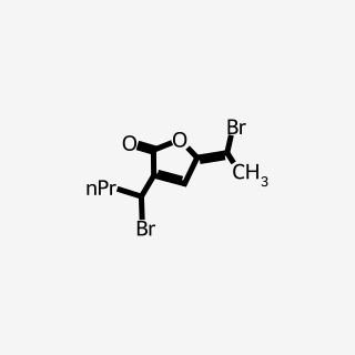 CCCC(Br)C1=C/C(=C(\C)Br)OC1=O